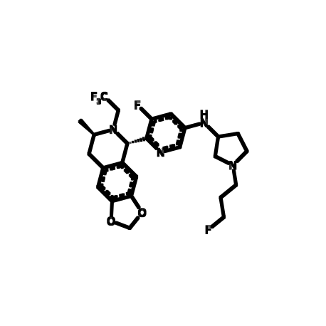 C[C@@H]1Cc2cc3c(cc2[C@@H](c2ncc(NC4CCN(CCCF)C4)cc2F)N1CC(F)(F)F)OCO3